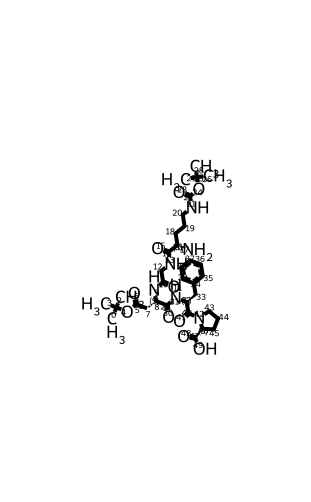 CC(C)(C)OC(=O)C[C@H](NC(=O)CNC(=O)[C@@H](N)CCCNC(=O)OC(C)(C)C)C(=O)N[C@@H](Cc1ccccc1)C(=O)N1CCC[C@H]1C(=O)O